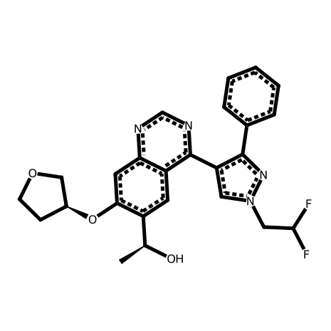 C[C@H](O)c1cc2c(-c3cn(CC(F)F)nc3-c3ccccc3)ncnc2cc1O[C@H]1CCOC1